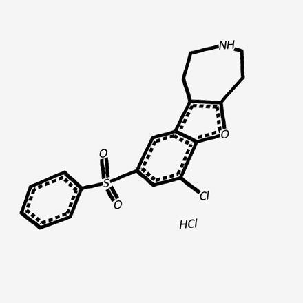 Cl.O=S(=O)(c1ccccc1)c1cc(Cl)c2oc3c(c2c1)CCNCC3